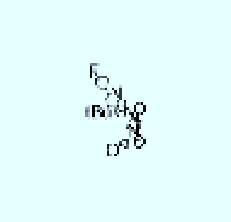 CC(C)(C)c1cc(-c2ccc(F)cc2)nc2cc(C(=O)N3CCN(C(=O)C4CC(=O)C4)CC3(C)C)oc12